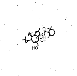 CC1=C[C@]2(C(C)C)C(=O)[C@H](C3CC3(C)C)C=C(CO)[C@@H](O)[C@]2(O)[C@H]1OC(=O)C1=C(C)CCCC1(C)C